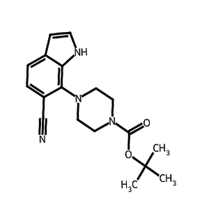 CC(C)(C)OC(=O)N1CCN(c2c(C#N)ccc3cc[nH]c23)CC1